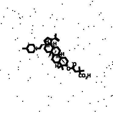 C=C(C)[C@@H]1CC[C@]2(CCN3CCC(C)CC3)CC[C@]3(C)[C@H](CC[C@@H]4[C@@]5(C)CC[C@H](OC(=O)CC(C)(C)C(=O)O)C(C)(C)[C@@H]5CC[C@]43C)[C@@H]12